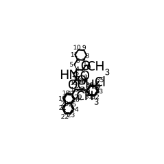 COC(=O)[C@H](CC1CCCCC1)NC(=O)OC(c1ccc2ccccc2c1)C(C)(C)c1cccc(Cl)c1